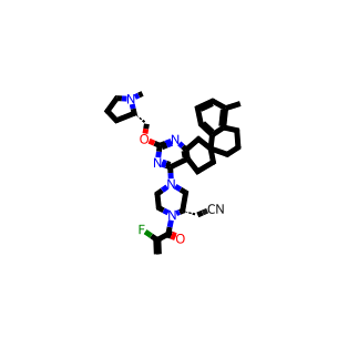 C=C(F)C(=O)N1CCN(c2nc(OC[C@@H]3CCCN3C)nc3c2CCC2(CCCc4c(C)cccc42)C3)C[C@@H]1CC#N